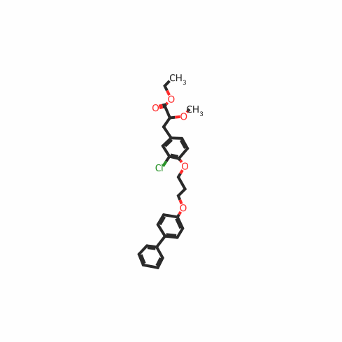 CCOC(=O)C(Cc1ccc(OCCCOc2ccc(-c3ccccc3)cc2)c(Cl)c1)OC